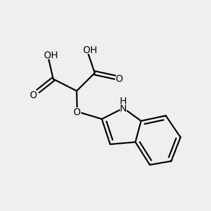 O=C(O)C(Oc1cc2ccccc2[nH]1)C(=O)O